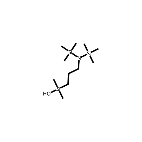 C[Si](C)(O)CCCN([Si](C)(C)C)[Si](C)(C)C